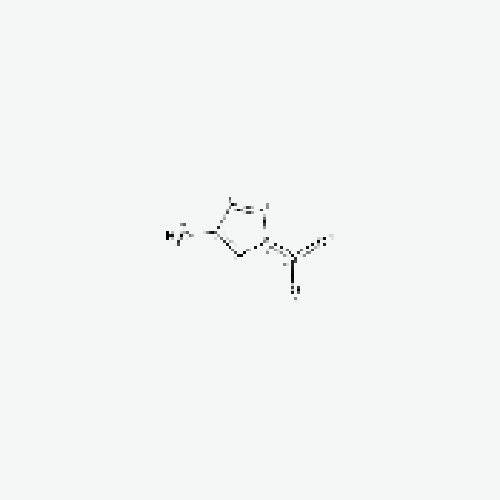 CC1=[C]S(=S(=O)=O)C=C1